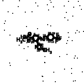 CNS(=O)(=O)c1ccc(NCC2CCC(C(F)(F)F)CC2)c(-c2cn(C)cn2)c1